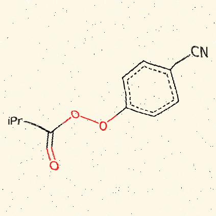 CC(C)C(=O)OOc1ccc(C#N)cc1